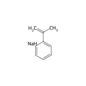 C=C(C)c1ccccc1.[NaH]